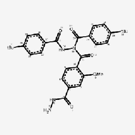 COc1cc(C(=O)NN)ccc1C(=O)N(NC(=O)c1ccc(C(C)(C)C)cc1)C(=O)c1ccc(C(C)(C)C)cc1